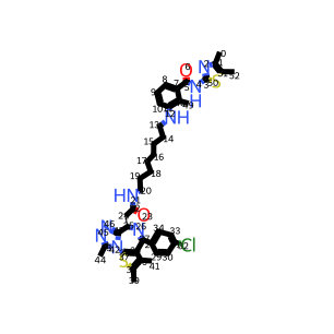 Cc1nc(NC(=O)c2cccc(NCCCCCCCCNC(=O)C[C@@H]3N=C(c4ccc(Cl)cc4)c4c(sc(C)c4C)-n4c(C)nnc43)c2C)sc1C